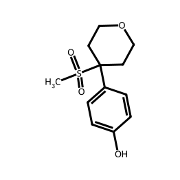 CS(=O)(=O)C1(c2ccc(O)cc2)CCOCC1